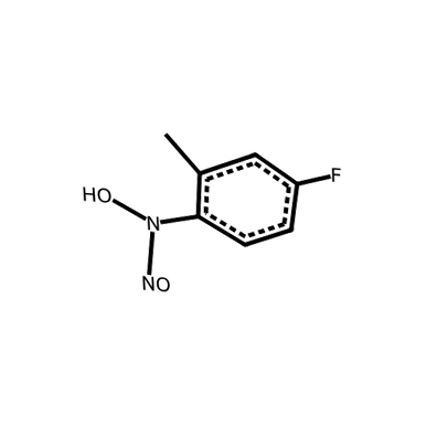 Cc1cc(F)ccc1N(O)N=O